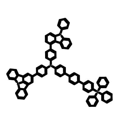 c1ccc(-n2c3ccccc3c3c(-c4ccc(N(c5ccc(-c6ccc(-c7ccc([Si](c8ccccc8)(c8ccccc8)c8ccccc8)cc7)cc6)cc5)c5ccc(-c6cc7c8ccccc8n8c9ccccc9c(c6)c78)cc5)cc4)cccc32)cc1